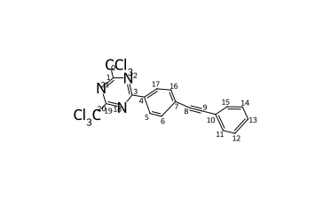 ClC(Cl)(Cl)c1nc(-c2ccc(C#Cc3ccccc3)cc2)nc(C(Cl)(Cl)Cl)n1